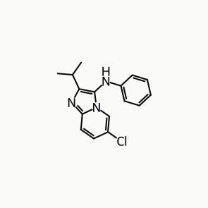 CC(C)c1nc2ccc(Cl)cn2c1Nc1ccccc1